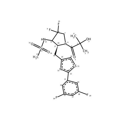 CC(C)(O)C(=O)N1CC(F)(F)C(NS(C)(=O)=O)[C@@H]1Cc1csc(-c2cc(F)cc(F)c2)n1